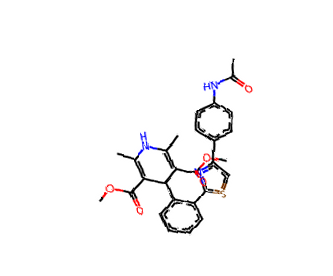 COC(=O)C1=C(C)NC(C)=C(C(=O)OC)C1c1ccccc1-c1nc(-c2ccc(NC(C)=O)cc2)cs1